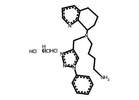 Cl.Cl.Cl.Cl.NCCCCN(Cc1cn(-c2ccccc2)nn1)C1CCCc2cccnc21